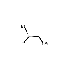 [CH2][C@H](CC)CCCC